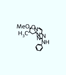 COC(=O)C(C)Cc1nccc2nc(Nc3ccccc3)nn12